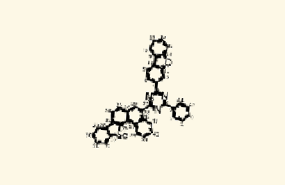 c1ccc(-c2nc(-c3ccc4c(c3)oc3ccccc34)nc(-c3cc4ccc5c6ccccc6[se]c5c4c4ccccc34)n2)cc1